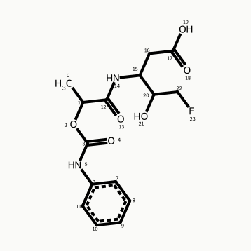 CC(OC(=O)Nc1ccccc1)C(=O)NC(CC(=O)O)C(O)CF